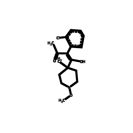 CON1CCC(C)(/C(O)=C(\C(C)=O)c2ccccc2Cl)CC1